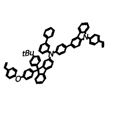 C=Cc1ccc(Oc2ccc(C3(c4ccc(C(C)(C)C)cc4)c4ccccc4-c4ccc(N(c5ccc(-c6ccc7c(c6)c6ccccc6n7-c6ccc(C=C)cc6)cc5)c5cccc(-c6ccccc6)c5)cc43)cc2)cc1